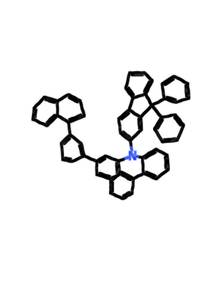 c1ccc(-c2ccccc2N(c2cccc(-c3cccc(-c4cccc5ccccc45)c3)c2)c2ccc3c(c2)C(c2ccccc2)(c2ccccc2)c2ccccc2-3)cc1